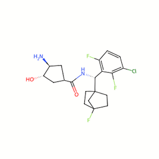 N[C@H]1CC(C(=O)N[C@H](c2c(F)ccc(Cl)c2F)C23CCC(F)(CC2)C3)C[C@@H]1O